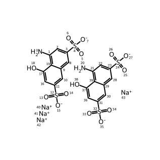 Nc1cc(S(=O)(=O)[O-])cc2cc(S(=O)(=O)[O-])cc(O)c12.Nc1cc(S(=O)(=O)[O-])cc2cc(S(=O)(=O)[O-])cc(O)c12.[Na+].[Na+].[Na+].[Na+]